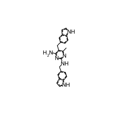 Cc1nc(NCc2ccc3[nH]ccc3c2)nc(N)c1Cc1ccc2[nH]ccc2c1